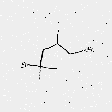 CCC(C)(C)CC(C)CC(C)C